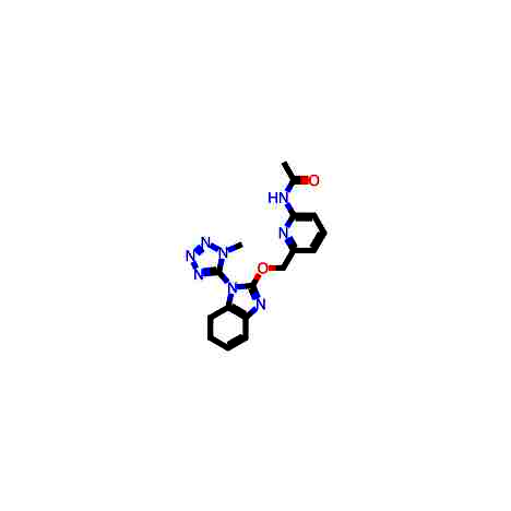 CC(=O)Nc1cccc(COc2nc3c(n2-c2nnnn2C)CCC=C3)n1